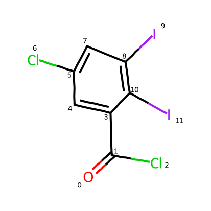 O=C(Cl)c1cc(Cl)cc(I)c1I